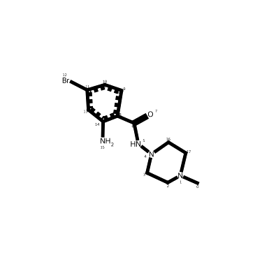 CN1CCN(NC(=O)c2ccc(Br)cc2N)CC1